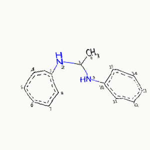 CC(Nc1ccccc1)Nc1ccccc1